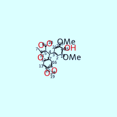 COc1cc(C2C3=C(COC3=O)Oc3cc4c(cc32)OCO4)cc(OC)c1O